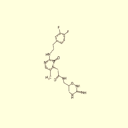 Cc1cnc(NCCc2ccc(F)c(F)c2)c(=O)n1CC(=O)NCC1CNC(=N)NO1